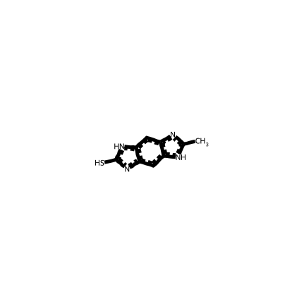 Cc1nc2cc3[nH]c(S)nc3cc2[nH]1